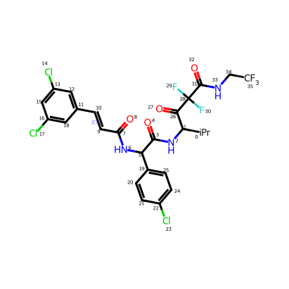 CC(C)C(NC(=O)C(NC(=O)/C=C/c1cc(Cl)cc(Cl)c1)c1ccc(Cl)cc1)C(=O)C(F)(F)C(=O)NCC(F)(F)F